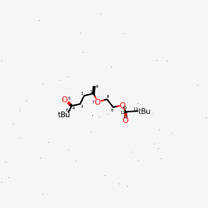 C=C(CCC(=O)C(C)(C)C)OCCOC(=O)C(C)(C)C